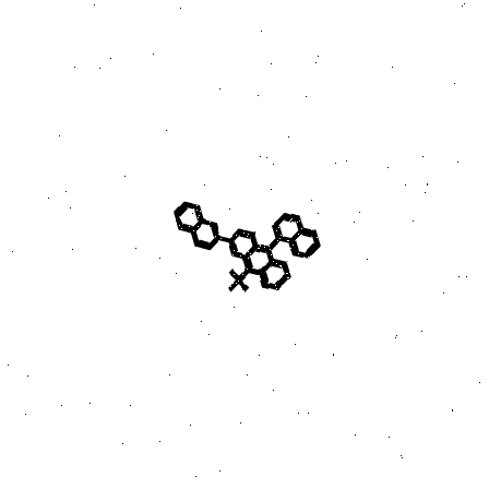 CC(C)(C)c1c2ccccc2c(-c2cccc3ccccc23)c2ccc(-c3ccc4ccccc4c3)cc12